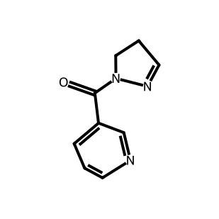 O=C(c1cccnc1)N1CCC=N1